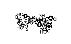 CSCC[C@H](NC(=O)[C@@H](NC(=O)[C@@H](N)CO)[C@@H](C)O)C(=O)N[C@@H](Cc1ccc(O)cc1)C(=O)N[C@@H](Cc1ccc(O)cc1)C(=O)N[C@@H](CS)C(=O)N[C@@H](Cc1ccc(O)cc1)C(=O)N[C@H](C(=O)N[C@@H](CC(C)C)C(=O)O)C(C)C